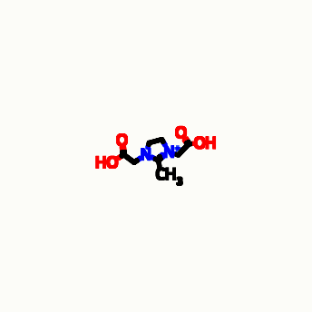 CC1=[N+](CC(=O)O)CCN1CC(=O)O